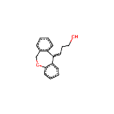 OCC/C=C1\c2ccccc2COc2ccccc21